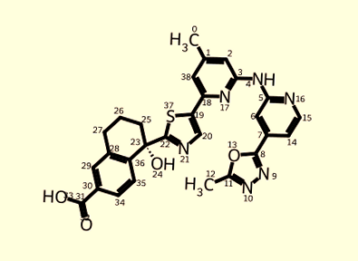 Cc1cc(Nc2cc(-c3nnc(C)o3)ccn2)nc(-c2cnc([C@]3(O)CCCc4cc(C(=O)O)ccc43)s2)c1